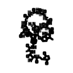 CC[C@H](C)[C@@H]1NC(=O)CNC(=O)CNC(=O)[C@H]([C@@H](C)[C@@H](O)CO)NC(=O)[C@@H]2C[C@@H](O)CN2C2(Cc3ccc(NC(=O)[C@H](C)NC(=O)[C@@H](NC(=O)CCN4C(=O)C=CC4=O)C(C)C)cc3)Oc3ccc4c(C)c([nH]c4c3)S(=O)(=O)C[C@H](NC(=O)CNC1=O)C(=O)N[C@@H](CC(N)=O)C2=O